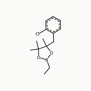 CCB1OC(C)(C)C(C)(Cc2ccccc2Cl)O1